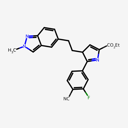 CCOC(=O)C1=CC(CCc2ccc3nn(C)cc3c2)C(c2ccc(C#N)c(F)c2)=N1